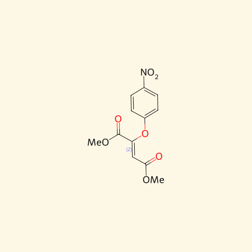 COC(=O)/C=C(\Oc1ccc([N+](=O)[O-])cc1)C(=O)OC